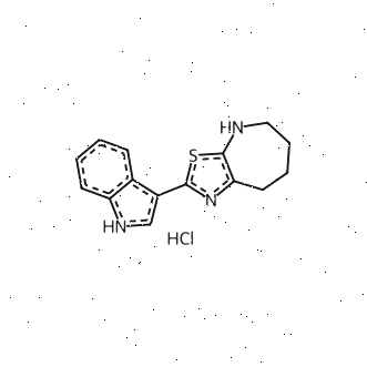 Cl.c1ccc2c(-c3nc4c(s3)NCCCC4)c[nH]c2c1